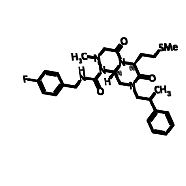 CSCC[C@H]1C(=O)N(CC(C)c2ccccc2)C[C@H]2N1C(=O)CN(C)N2C(=O)NCc1ccc(F)cc1